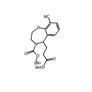 COC(=O)CCC1c2cccc(C#N)c2OCCN1C(=O)OC(C)(C)C